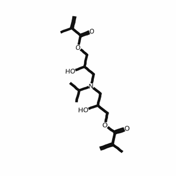 C=C(C)C(=O)OCC(O)CN(CC(O)COC(=O)C(=C)C)C(C)C